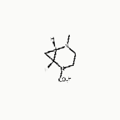 CN1CCN(C(=O)O)[C@@H]2C[C@@H]21